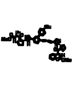 COC(=O)N[C@H](C(=O)N1CCC[C@H]1c1ncc(-c2ccc(C#CC#Cc3cnc([C@@H]4CCCN4C(=O)[C@H](NC(=O)OC)c4ccccc4)[nH]3)c(-c3ccc(C(C)(C)C)cc3)c2)[nH]1)C(C)C